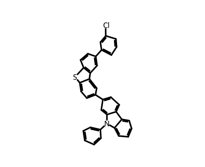 Clc1cccc(-c2ccc3sc4ccc(-c5ccc6c7ccccc7n(-c7ccccc7)c6c5)cc4c3c2)c1